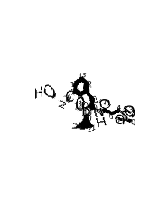 CS(=O)(=O)CCC(=O)N[C@H]1Cc2cccc(C(=O)O)c2OB1C1CC1